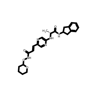 C[C@@H](Nc1cnc(/C=C/C(=O)NOC2CCCCO2)cn1)C(=O)NC1Cc2ccccc2C1